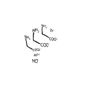 Cl.NCC(=O)[O-].NCC(=O)[O-].NCC(=O)[O-].[Al+3].[Zr]